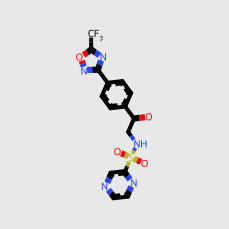 O=C(CNS(=O)(=O)c1cnccn1)c1ccc(-c2noc(C(F)(F)F)n2)cc1